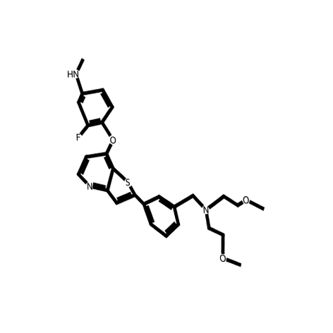 CNc1ccc(Oc2ccnc3cc(-c4cccc(CN(CCOC)CCOC)c4)sc23)c(F)c1